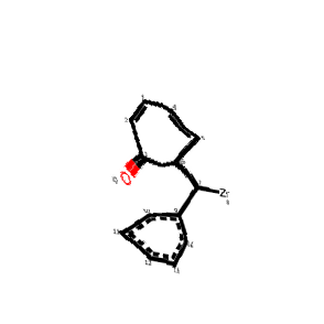 O=C1C=CC=CC1[CH]([Zr])c1ccccc1